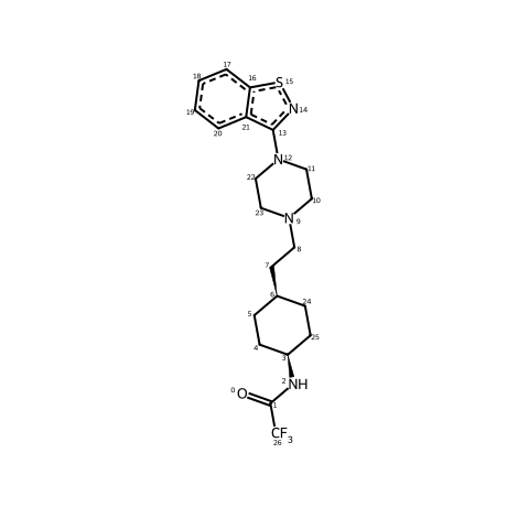 O=C(N[C@H]1CC[C@@H](CCN2CCN(c3nsc4ccccc34)CC2)CC1)C(F)(F)F